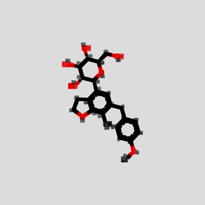 CCOc1ccc(Cc2cc([C@@H]3O[C@H](CO)[C@@H](O)[C@H](O)[C@H]3O)c3c(c2C)OCC3)cc1